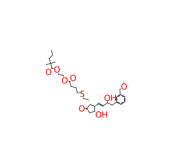 CCCC(C)(C)C(=O)OCCOC(=O)CCCSCC[C@H]1C(=O)C[C@@H](O)[C@@H]1/C=C/[C@@H](O)Cc1cccc(COC)c1